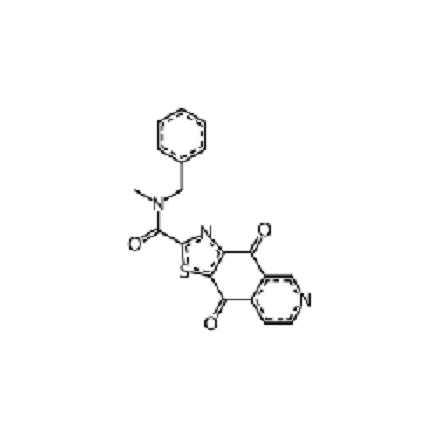 CN(Cc1ccccc1)C(=O)c1nc2c(s1)C(=O)c1ccncc1C2=O